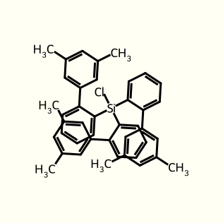 Cc1cc(C)cc(-c2ccccc2[Si](Cl)(c2ccccc2-c2cc(C)cc(C)c2)c2ccccc2-c2cc(C)cc(C)c2)c1